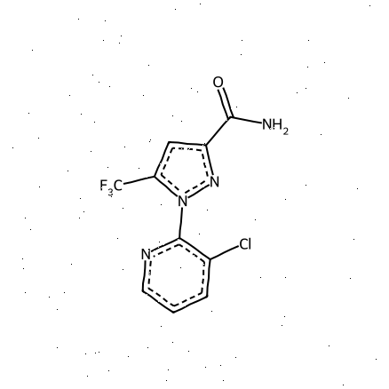 NC(=O)c1cc(C(F)(F)F)n(-c2ncccc2Cl)n1